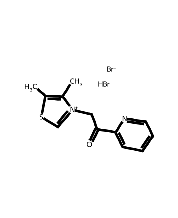 Br.Cc1sc[n+](CC(=O)c2ccccn2)c1C.[Br-]